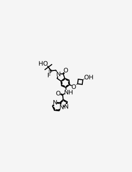 CC(C)(O)[C@H](F)CN1Cc2cc(NC(=O)c3cnn4cccnc34)c(O[C@H]3C[C@@H](O)C3)cc2C1=O